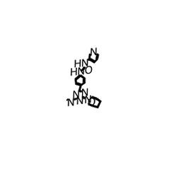 CN(C)c1nc(-c2ccc(NC(=O)Nc3cccnc3)cc2)nc(N2CC3CCC(C2)O3)n1